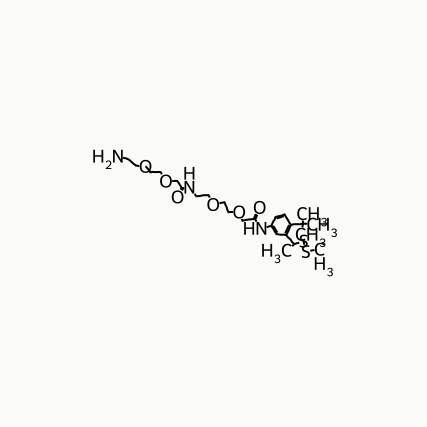 CSSC(C)c1cc(NC(=O)COCCOCCNC(=O)COCCOCCN)ccc1C(C)(C)C